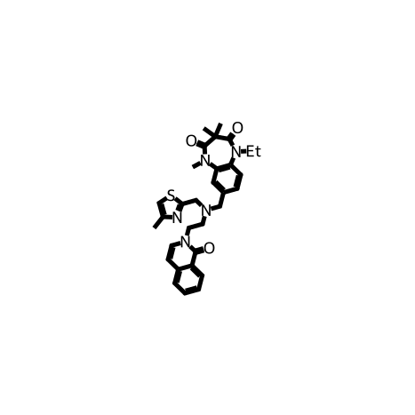 CCN1C(=O)C(C)(C)C(=O)N(C)c2cc(CN(CCn3ccc4ccccc4c3=O)Cc3nc(C)cs3)ccc21